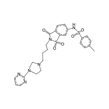 Cc1ccc(S(=O)(=O)Nc2ccc3c(c2)S(=O)(=O)N(CCCCN2CCN(c4ncccn4)CC2)C3=O)cc1